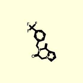 C=C1c2cccn2CC(=O)N1Cc1cccc(C(F)(F)F)c1